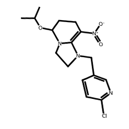 CC(C)OC1CCC([N+](=O)[O-])=C2N(Cc3ccc(Cl)nc3)CCN21